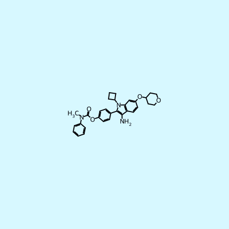 CN(C(=O)Oc1ccc(-c2c(N)c3ccc(OC4CCOCC4)cc3n2C2CCC2)cc1)c1ccccc1